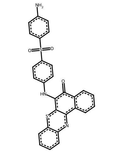 Nc1ccc(S(=O)(=O)c2ccc(Nc3c4sc5ccccc5nc-4c4ccccc4c3=O)cc2)cc1